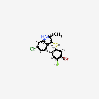 Cc1[nH]c2cc(Cl)ccc2c1Sc1ccc(F)c(Br)c1